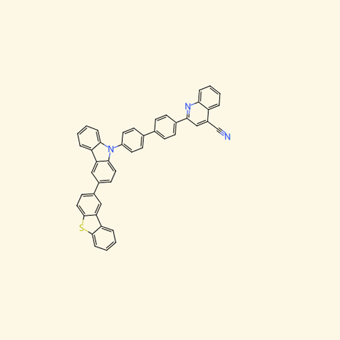 N#Cc1cc(-c2ccc(-c3ccc(-n4c5ccccc5c5cc(-c6ccc7sc8ccccc8c7c6)ccc54)cc3)cc2)nc2ccccc12